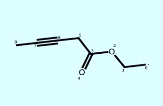 [CH2]COC(=O)CC#CC